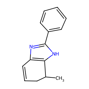 CC1CC=Cc2nc(-c3ccccc3)[nH]c21